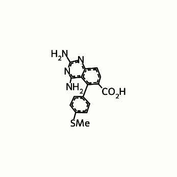 CSc1ccc(-c2c(C(=O)O)ccc3nc(N)nc(N)c23)cc1